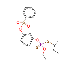 CCOP(=S)(Oc1cccc(OS(=O)(=O)c2ccccc2)c1)SC(C)CC